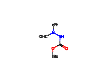 CCCN([C]=O)NC(=O)OC(C)(C)C